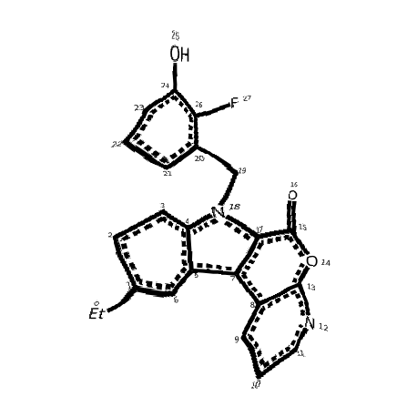 CCc1ccc2c(c1)c1c3cccnc3oc(=O)c1n2Cc1cccc(O)c1F